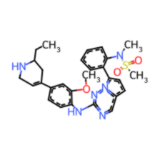 CCC1CC(c2ccc(Nc3ncc4ccc(-c5ccccc5N(C)S(C)(=O)=O)n4n3)c(OC)c2)=CCN1